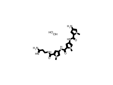 Cl.Cl.Cn1cc(NC(=O)c2cc(NC(=O)c3cc(N)cn3C)cn2C)cc1C(=O)NCCC(=N)N